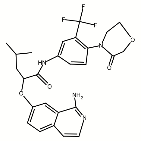 CC(C)CC(Oc1ccc2ccnc(N)c2c1)C(=O)Nc1ccc(N2CCOCC2=O)c(C(F)(F)F)c1